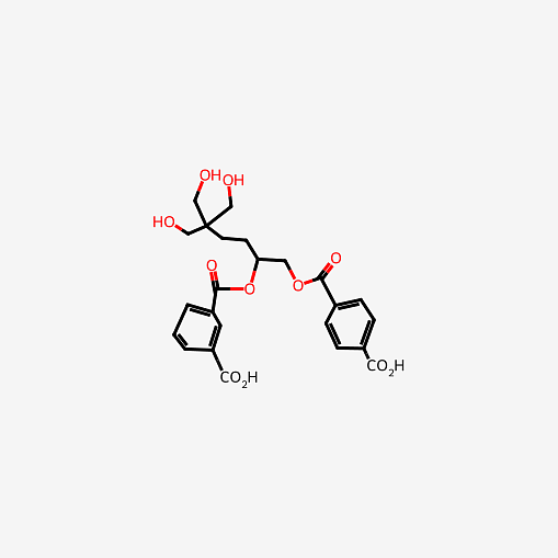 O=C(O)c1ccc(C(=O)OCC(CCC(CO)(CO)CO)OC(=O)c2cccc(C(=O)O)c2)cc1